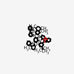 CC(C)(C)c1ccc(N2c3cc(N4c5ccccc5C5(C)CCCCC45C)cc4c3B(c3cc5c(cc3N4c3cccc4c3sc3ccccc34)C(C)(C)CCC5(C)C)c3ccc4c(oc5ccccc54)c32)c(-c2ccccc2)c1